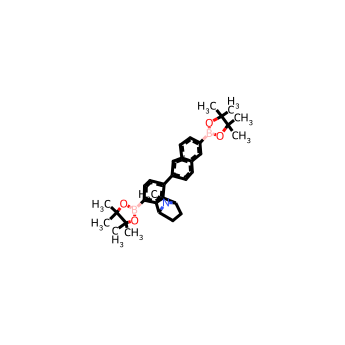 CN1C2CCC1c1c(-c3ccc4cc(B5OC(C)(C)C(C)(C)O5)ccc4c3)ccc(B3OC(C)(C)C(C)(C)O3)c12